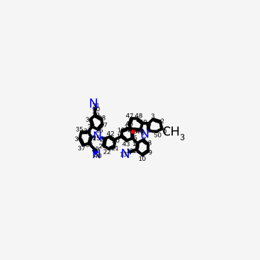 CC1C=Cc2c(n(-c3cccc(C#N)c3-c3cccc(-c4cccc(-n5c6ccc(C#N)cc6c6cccc(C#N)c65)c4)c3)c3ccccc23)C1